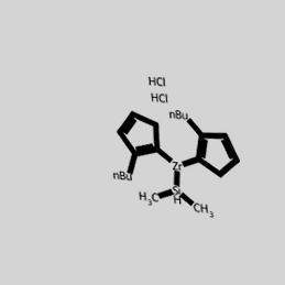 CCCCC1=[C]([Zr]([C]2=C(CCCC)C=CC2)[SiH](C)C)CC=C1.Cl.Cl